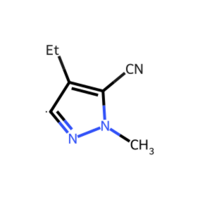 CCc1[c]nn(C)c1C#N